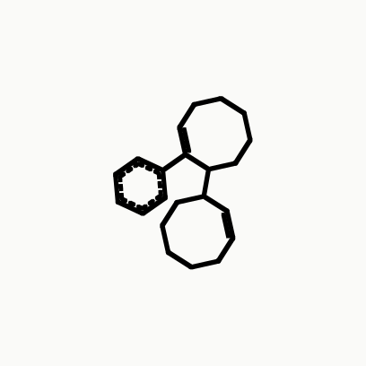 C1=CC(C2CCCCCC=C2c2ccccc2)CCCCC1